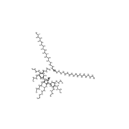 CCCCCCCCC1=C(c2cc(CCCC)c(CCCC)c(CCCC)c2)[N+](=[N-])C(c2cc(CCCC)c(CCCC)c(CCCC)c2)=C1CCCCCC.CCCCCCCCCCCCCCCCCC[CH2][Ni][CH2]CCCCCCCCCCCCCCCCCC